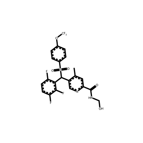 Cc1cc(C(=O)NCO)ncc1C(c1c(F)ccc(F)c1F)S(=O)(=O)c1ccc(OC(F)(F)F)cc1